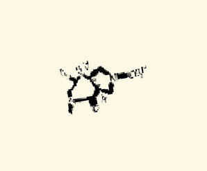 CN1CC(=O)N[C@H]2CN(C(=O)O)C[C@H]2C1=O